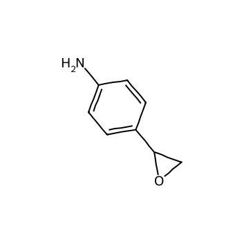 Nc1ccc(C2CO2)cc1